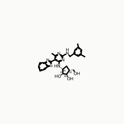 Cc1cc(C)cc(CNc2nc(C)c(-c3nc4ccccc4s3)c(N[C@@H]3C[C@H](CO)[C@@H](O)[C@H]3O)n2)c1